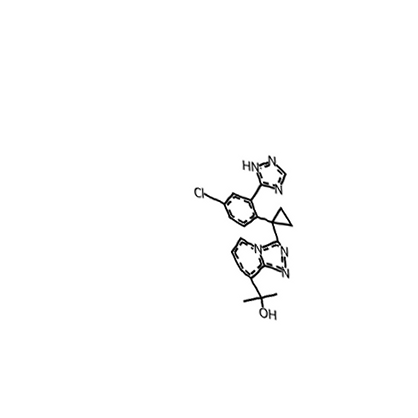 CC(C)(O)c1cccn2c(C3(c4ccc(Cl)cc4-c4ncn[nH]4)CC3)nnc12